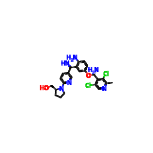 Cc1ncc(Cl)c([C@@H](N)Oc2ccc(N)c(C(=N)c3ccc(N4CCC[C@H]4CO)nc3)c2)c1Cl